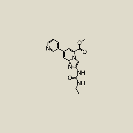 CCNC(=O)Nc1cn2c(C(=O)OC)cc(-c3cccnc3)cc2n1